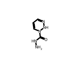 NNC(=O)N1C=CC=NN1